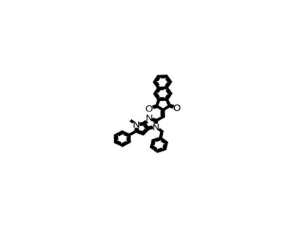 Cn1c(-c2ccccc2)cc2c1nc(C=C1C(=O)c3cc4ccccc4cc3C1=O)n2Cc1ccccc1